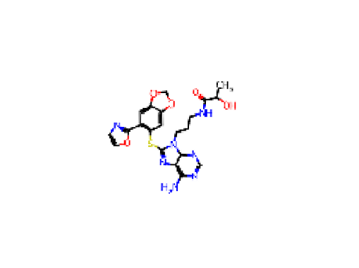 CC(O)C(=O)NCCCn1c(Sc2cc3c(cc2-c2ncco2)OCO3)nc2c(N)ncnc21